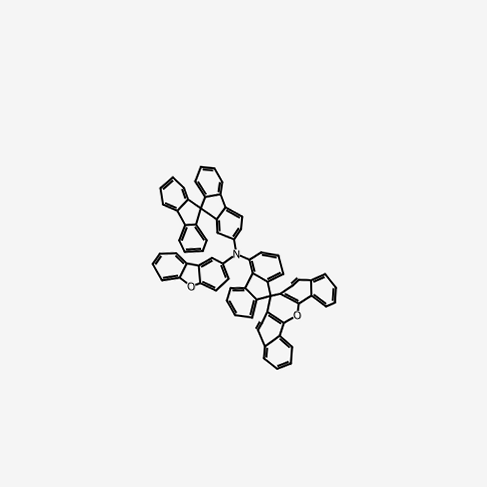 c1ccc2c(c1)-c1ccccc1C21c2ccccc2-c2ccc(N(c3ccc4oc5ccccc5c4c3)c3cccc4c3-c3ccccc3C43c4ccc5ccccc5c4Oc4c3ccc3ccccc43)cc21